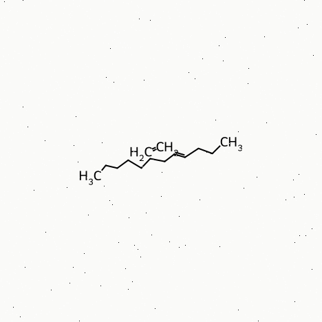 C=C.CCCC=CCCCCCCC